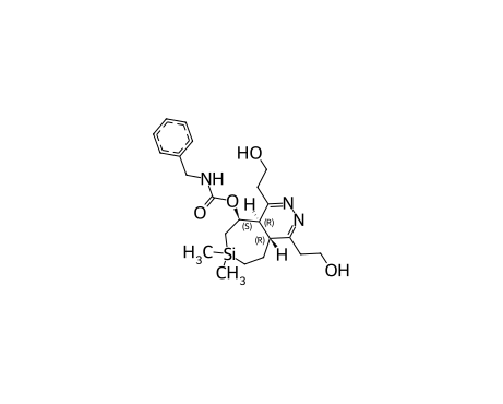 C[Si]1(C)CC[C@H]2C(CCO)=NN=C(CCO)[C@@H]2[C@H](OC(=O)NCc2ccccc2)C1